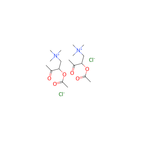 CC(=O)OC(C[N+](C)(C)C)C(C)=O.CC(=O)OC(C[N+](C)(C)C)C(C)=O.[Cl-].[Cl-]